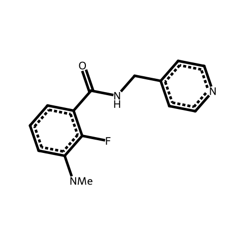 CNc1cccc(C(=O)NCc2ccncc2)c1F